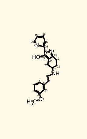 COc1cccc(CCNC2CCc3nn(-c4ccccn4)c(O)c3C2)c1